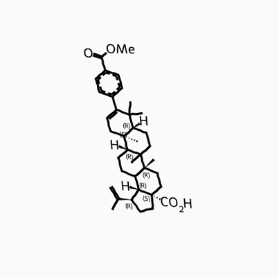 C=C(C)[C@@H]1CC[C@]2(C(=O)O)CC[C@]3(C)C(CC[C@H]4C3(C)CC[C@H]3C(C)(C)C(c5ccc(C(=O)OC)cc5)=CC[C@@]34C)[C@@H]12